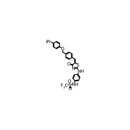 CC(C)c1ccc(OCc2ccc(C=C3SC(Nc4ccc(NS(=O)(=O)C(F)(F)F)cc4)=NC3=O)cc2)cc1